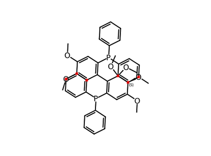 COC1=CC(P(c2ccccc2)c2ccccc2)=C(c2cc(OC)c(OC)cc2P(c2ccccc2)c2ccccc2)C(OC)(OC)[C@H]1OC